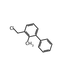 Cc1c(CCl)cccc1-c1ccccc1